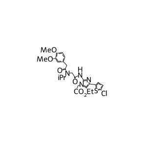 CCOC(=O)Cn1cc(-c2ccc(Cl)s2)nc1NC(=O)CN(C(=O)Cc1ccc(OC)c(OC)c1)C(C)C